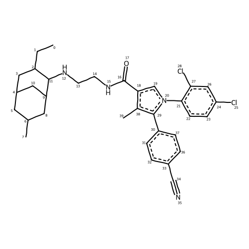 CCC1CC2CC(C)CC(C2)C1NCCNC(=O)c1cn(-c2ccc(Cl)cc2Cl)c(-c2ccc(C#N)cc2)c1C